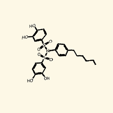 CCCCCCc1ccc(N(S(=O)(=O)c2ccc(O)c(O)c2)S(=O)(=O)c2ccc(O)c(O)c2)cc1